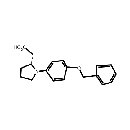 O=C(O)C[C@H]1CCCN1c1ccc(OCc2ccccc2)cc1